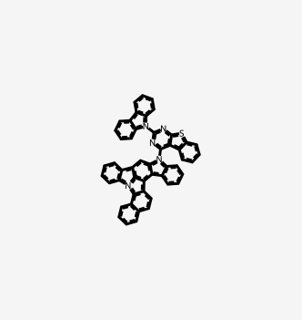 c1ccc2c(c1)ccc1c3c4c5ccccc5n(-c5nc(-n6c7ccccc7c7ccccc76)nc6sc7ccccc7c56)c4cc4c5ccccc5n(c21)c43